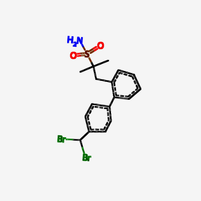 CC(C)(Cc1ccccc1-c1ccc(C(Br)Br)cc1)S(N)(=O)=O